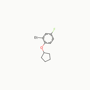 CCc1cc(F)ccc1OC1CCCC1